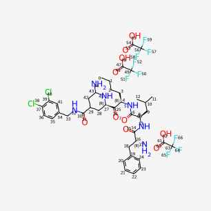 CCCC[C@@H](NC(=O)[C@@H](CC(C)C)NC(=O)[C@H](N)Cc1ccccc1)C(=O)[C@H]1CC(C(=O)NCc2ccc(Cl)c(Cl)c2)CC(N)N1.O=C(O)C(F)(F)F.O=C(O)C(F)(F)F.O=C(O)C(F)(F)F